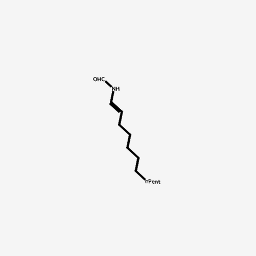 CCCCCCCCCCC=CNC=O